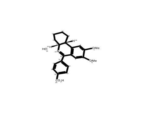 COc1cc2c(cc1OC)[C@H]1CCCC[C@H]1N=C2c1ccc(C(=O)O)cc1.Cl